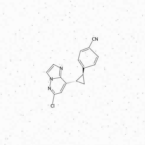 N#Cc1ccc([C@H]2C[C@@H]2c2cc(Cl)nn3ccnc23)cc1